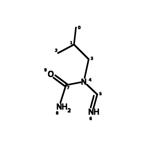 CC(C)CN(C=N)C(N)=O